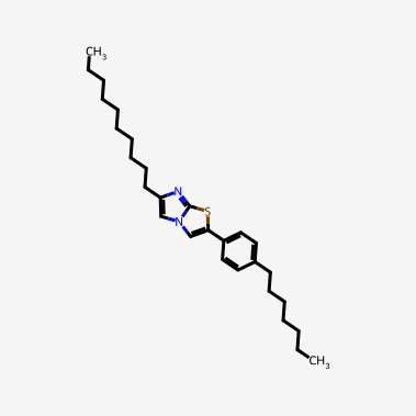 CCCCCCCCCCc1cn2cc(-c3ccc(CCCCCCC)cc3)sc2n1